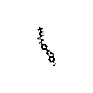 COc1ccc2c(c1)sc1nc(-c3ccc(NC(=O)Nc4cc(C(C)(C)C)on4)cc3)cn12